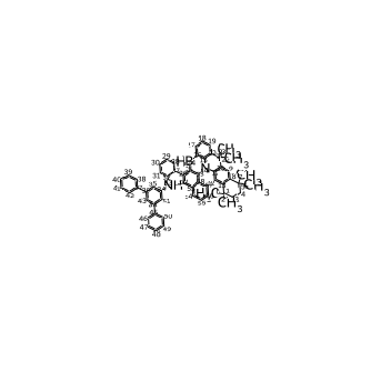 CC1(C)CCC(C)(C)c2cc3c(cc21)N1c2c(cccc2C3(C)C)Bc2c(-c3ccccc3Nc3cc(-c4ccccc4)cc(-c4ccccc4)c3)cc3ccccc3c21